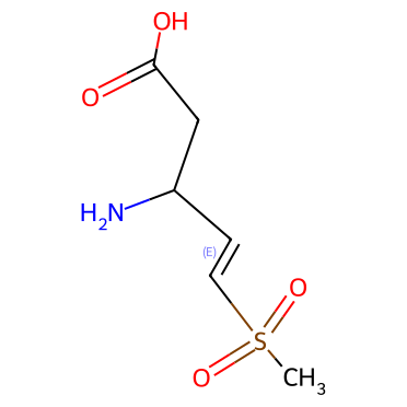 CS(=O)(=O)/C=C/C(N)CC(=O)O